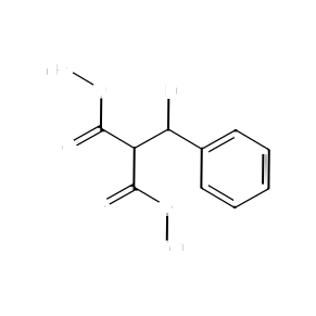 CCCOC(=O)C(C(=O)OCCC)C(CC)c1ccccc1